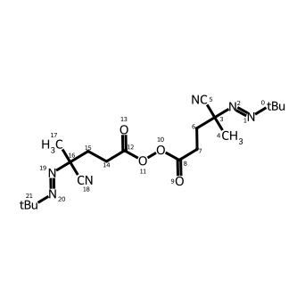 CC(C)(C)/N=N/C(C)(C#N)CCC(=O)OOC(=O)CCC(C)(C#N)/N=N/C(C)(C)C